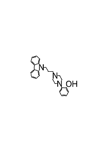 Oc1ccccc1N1CCN(CCCn2c3ccccc3c3ccccc32)CC1